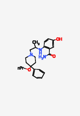 CCCOC1(c2ccccc2)CCN(CC(C)Nc2ccc(O)cc2C(N)=O)CC1